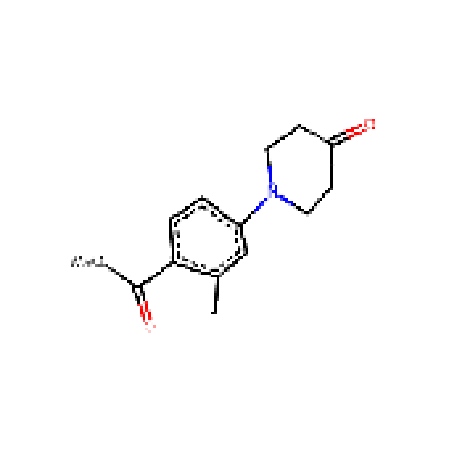 COC(=O)c1ccc(N2CCC(=O)CC2)cc1C